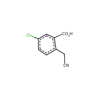 N#CCc1ccc(Cl)cc1C(=O)O